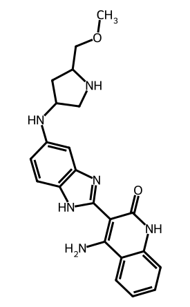 COCC1CC(Nc2ccc3[nH]c(-c4c(N)c5ccccc5[nH]c4=O)nc3c2)CN1